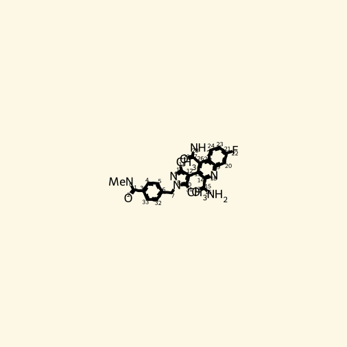 CNC(=O)c1ccc(Cn2nc(C)c(-c3c(C(N)=O)nc4cc(F)ccc4c3C(N)=O)c2C)cc1